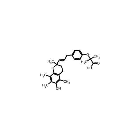 Cc1c(C)c2c(c(C)c1O)CCC(C)(C=CCc1ccc(OC(C)(C)C(=O)O)cc1)O2